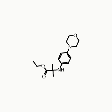 CCOC(=O)C(C)(C)Nc1ccc(N2CCOCC2)cc1